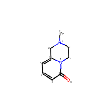 CC(C)N1CCn2c(cccc2=O)C1